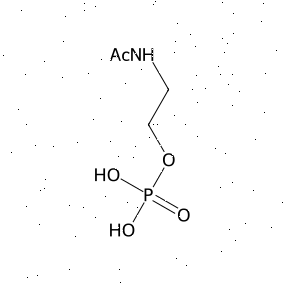 CC(=O)NCCOP(=O)(O)O